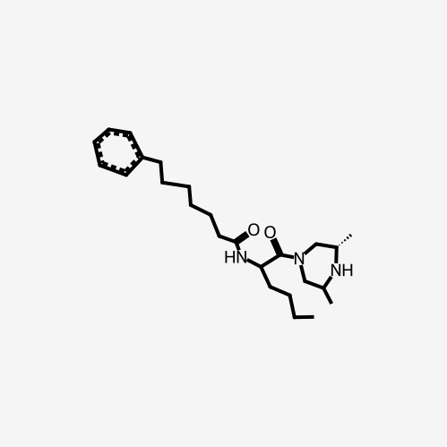 CCCCC(NC(=O)CCCCCCc1ccccc1)C(=O)N1CC(C)N[C@@H](C)C1